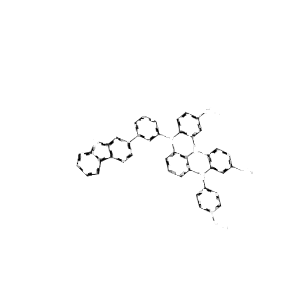 CC(C)(C)c1ccc(N2c3cc(C(C)(C)C)ccc3B3c4cc(C(C)(C)C)ccc4N(c4cccc(-c5ccc6c(c5)sc5ccccc56)c4)c4cccc2c43)cc1